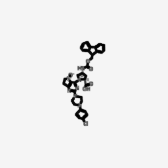 O=C(N[C@@H]1C[C@@H](C(=O)O)N(c2nc(N3CCN(c4ccc(Cl)cc4)CC3)nc3c2[S+]([O-])CC3)C1)OCC1c2ccccc2-c2ccccc21